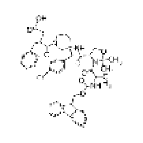 CC(NC(=O)OCC1c2ccccc2-c2ccccc21)C(=O)N1[C@H](C(=O)N[C@@]2(Cc3ccc(Cl)cc3)CCCN(C(=O)C(CC(=O)O)Cc3ccccc3)C2)COC1(C)C